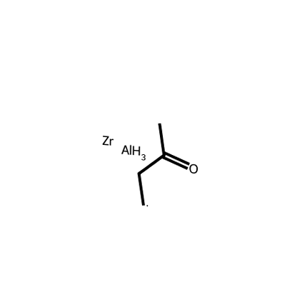 [AlH3].[CH2]CC(C)=O.[Zr]